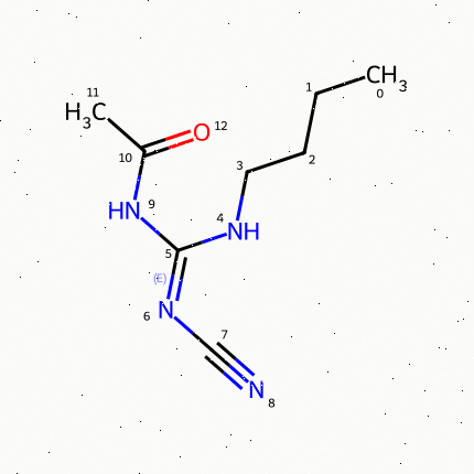 CCCCN/C(=N\C#N)NC(C)=O